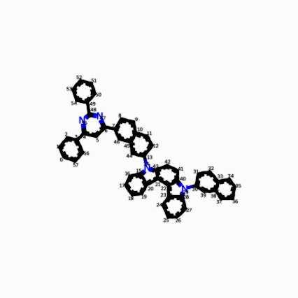 c1ccc(-c2cc(-c3ccc4ccc(-n5c6ccccc6c6c7c8ccccc8n(-c8ccc9ccccc9c8)c7ccc65)cc4c3)nc(-c3ccccc3)n2)cc1